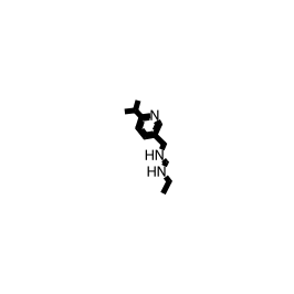 CCNCNCc1ccc(C(C)C)nc1